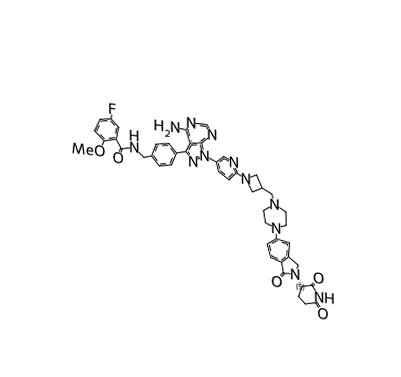 COc1ccc(F)cc1C(=O)NCc1ccc(-c2nn(-c3ccc(N4CC(CN5CCN(c6ccc7c(c6)CN([C@H]6CCC(=O)NC6=O)C7=O)CC5)C4)nc3)c3ncnc(N)c23)cc1